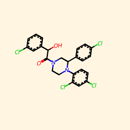 O=C(C(O)c1cccc(Cl)c1)N1CCN(c2ccc(Cl)cc2Cl)C(c2ccc(Cl)cc2)C1